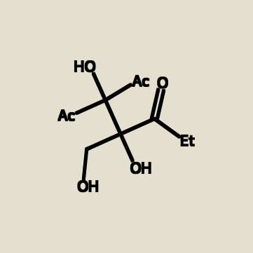 CCC(=O)C(O)(CO)C(O)(C(C)=O)C(C)=O